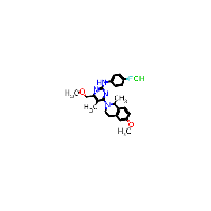 COCc1nc(Nc2ccc(F)cc2)nc(N2CCc3cc(OC)ccc3C2C)c1C.Cl